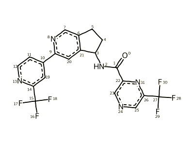 O=C(NC1CCc2cnc(-c3ccnc(C(F)(F)F)c3)cc21)c1cncc(C(F)(F)F)n1